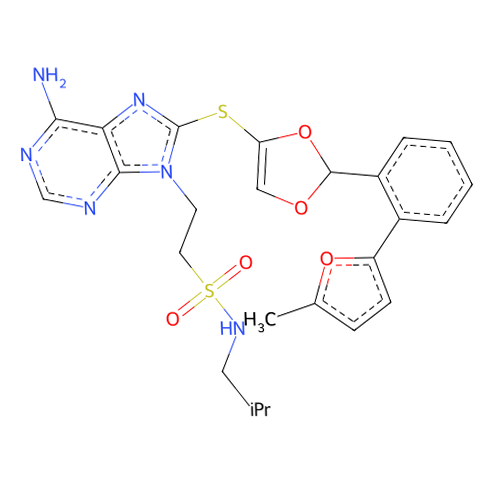 Cc1ccc(-c2ccccc2C2OC=C(Sc3nc4c(N)ncnc4n3CCS(=O)(=O)NCC(C)C)O2)o1